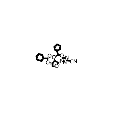 N#Cc1ncn([C@@H]2OC[C@@H](OC(=O)c3ccccc3)[C@H]2OC(=O)c2ccccc2)n1